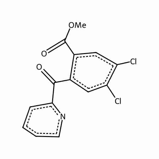 COC(=O)c1cc(Cl)c(Cl)cc1C(=O)c1ccccn1